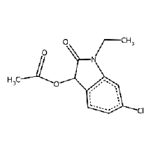 CCN1C(=O)C(OC(C)=O)c2ccc(Cl)cc21